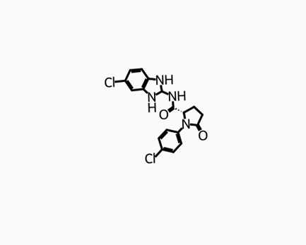 O=C(NC1Nc2ccc(Cl)cc2N1)[C@@H]1CCC(=O)N1c1ccc(Cl)cc1